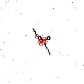 CCC=CCCOc1ccc2c(OC(=O)c3ccccc3)c(OCCCCCCCCCC)c(=O)oc2c1